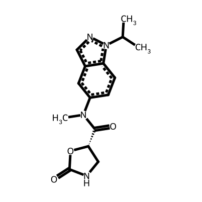 CC(C)n1ncc2cc(N(C)C(=O)[C@@H]3CNC(=O)O3)ccc21